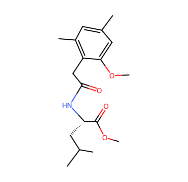 COC(=O)[C@H](CC(C)C)NC(=O)Cc1c(C)cc(C)cc1OC